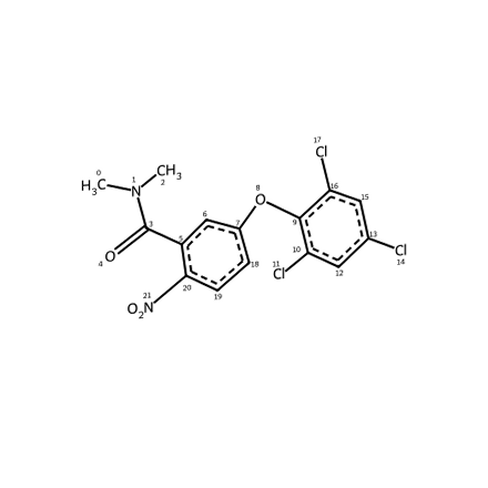 CN(C)C(=O)c1cc(Oc2c(Cl)cc(Cl)cc2Cl)ccc1[N+](=O)[O-]